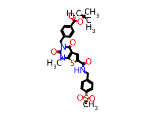 Cn1c(=O)n(Cc2ccc(C(=O)OC(C)(C)C)cc2)c(=O)c2cc(C(=O)NCc3ccc(S(C)(=O)=O)cc3)sc21